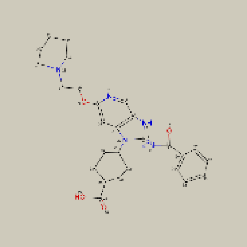 O=C(/N=c1\[nH]c2cnc(OCCN3CCCCC3)cc2n1C1CCC(C(=O)O)CC1)c1ccccc1